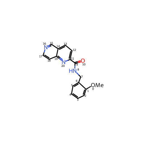 COc1ccccc1CNC(=O)c1ccc2cnccc2n1